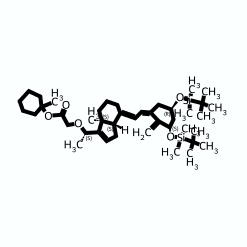 C=C1C(=CC=C2CCC[C@]3(C)C([C@H](C)OCC(=O)OC4(C)CCCCC4)=CC[C@@H]23)C[C@@H](O[Si](C)(C)C(C)(C)C)C[C@@H]1O[Si](C)(C)C(C)(C)C